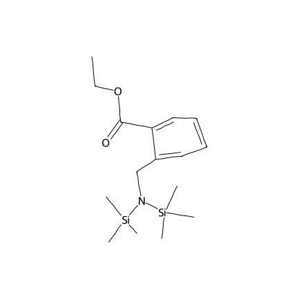 CCOC(=O)c1ccccc1CN([Si](C)(C)C)[Si](C)(C)C